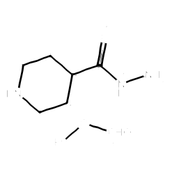 CC(C)OC=O.NNC(=O)C1CCNCC1